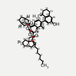 CCCCCCCCCC(=O)OCOC(=O)N1[C@@H]2CC[C@H]1CN(c1nc(OC[C@@]34CCCN3C[C@H](F)C4)nc3c(F)c(-c4cc(O)cc5c4C(C)CCC5)ccc13)C2